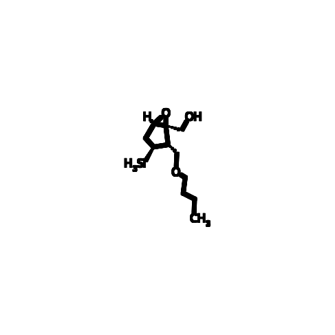 CCCCOC[C@@H]1[C@@H]([SiH3])C[C@H]2O[C@@]12CO